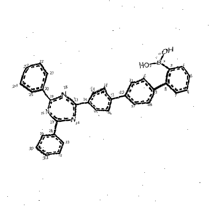 OB(O)c1ccccc1-c1ccc(-c2ccc(-c3nc(-c4ccccc4)nc(-c4ccccc4)n3)cc2)cc1